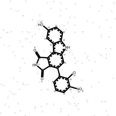 O=C1NC(=O)c2c1c(-c1cccc([N+](=O)[O-])c1Cl)cc1[nH]c3ccc(O)cc3c21